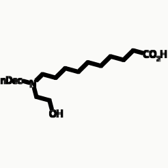 CCCCCCCCCCN(CCO)CCCCCCCCCC(=O)O